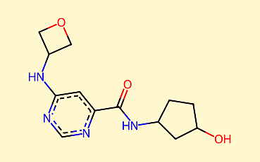 O=C(NC1CCC(O)C1)c1cc(NC2COC2)ncn1